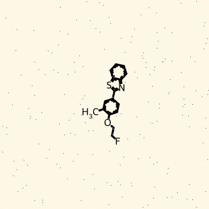 Cc1cc(-c2nc3ccccc3s2)ccc1OCCF